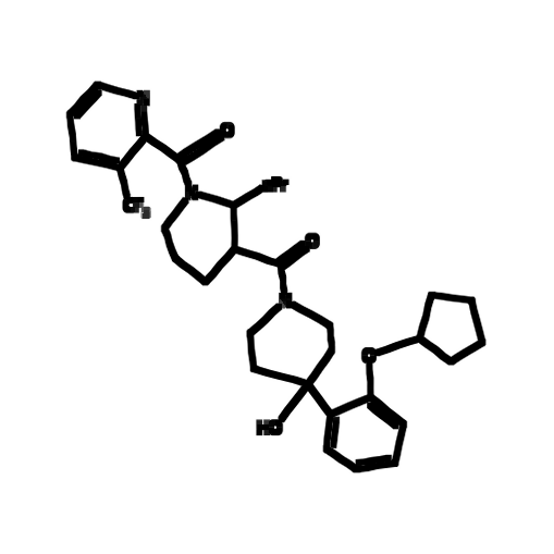 CCCC1C(C(=O)N2CCC(O)(c3ccccc3OC3CCCC3)CC2)CCCN1C(=O)c1ncccc1C(F)(F)F